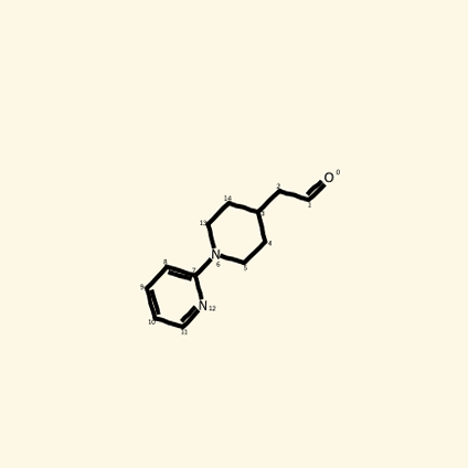 O=CCC1CCN(c2ccccn2)CC1